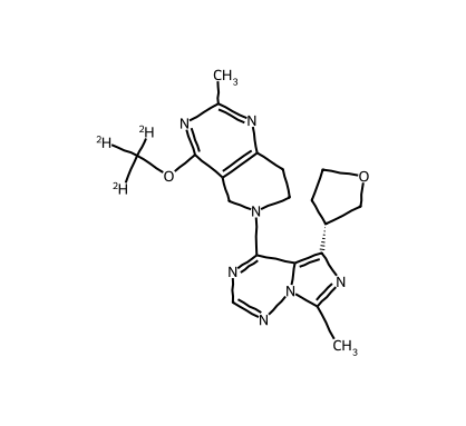 [2H]C([2H])([2H])Oc1nc(C)nc2c1CN(c1ncnn3c(C)nc([C@@H]4CCOC4)c13)CC2